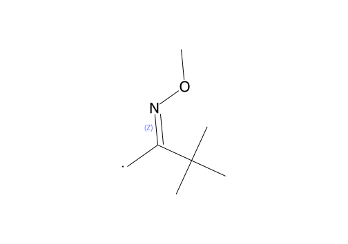 [CH2]/C(=N/OC)C(C)(C)C